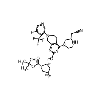 CC(C)(C)OC(=O)N1C[C@H](F)C[C@H]1COc1nc2c(c(N3CCNC(CC#N)C3)n1)CCN(c1cncc(F)c1C(F)(F)F)C2